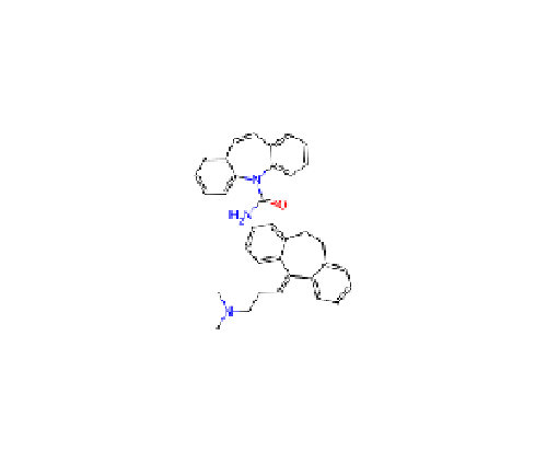 CN(C)CCC=C1c2ccccc2CCc2ccccc21.NC(=O)N1c2ccccc2C=Cc2ccccc21